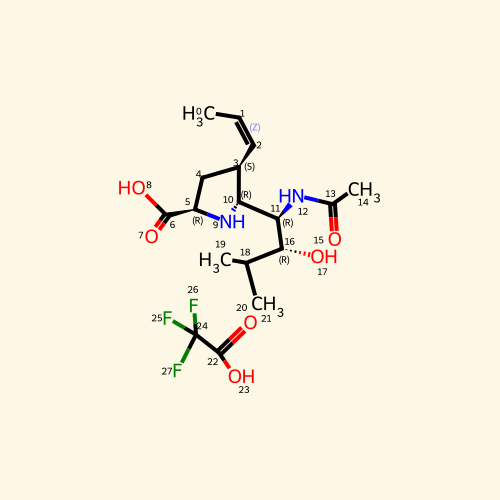 C/C=C\[C@@H]1C[C@H](C(=O)O)N[C@H]1[C@@H](NC(C)=O)[C@H](O)C(C)C.O=C(O)C(F)(F)F